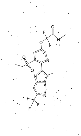 CCS(=O)(=O)c1cc(OC(F)(F)C(=O)N(C)C)cnc1-c1nc2cc(C(F)(F)F)ncc2n1C